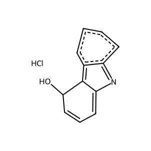 Cl.OC1C=CC=C2N=c3ccccc3=C21